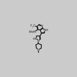 CNc1c(C(F)(F)F)cnc2[nH]cc(C3=CN(C4CCN(C)CC4)NC3)c12